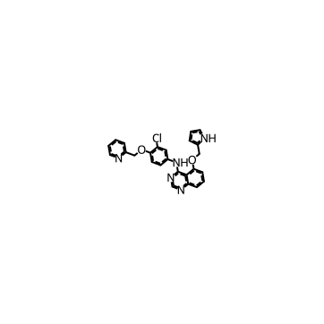 Clc1cc(Nc2ncnc3cccc(OCc4ccc[nH]4)c23)ccc1OCc1ccccn1